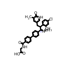 Cc1cc(Cl)ccc1C(Cc1c[nH]c(=O)c(C)c1)/C(=N\O)c1ccc(-c2ccc(C(=O)NCC(=O)O)cc2)cc1